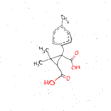 Cc1ccc(C2(C(=O)O)C(C(=O)O)C2(C)C)cc1